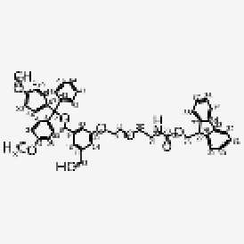 COc1ccc(C(OCc2cc(CO)cc(OCCOCCNC(=O)OCC3c4ccccc4-c4ccccc43)c2)(c2ccccc2)c2ccc(OC)cc2)cc1